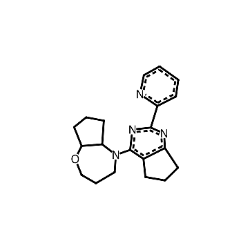 c1ccc(-c2nc3c(c(N4CCCOC5CCCC54)n2)CCC3)nc1